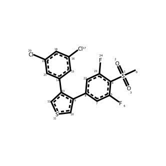 CS(=O)(=O)c1c(F)cc(-c2cscc2-c2cc(Cl)cc(Cl)c2)cc1F